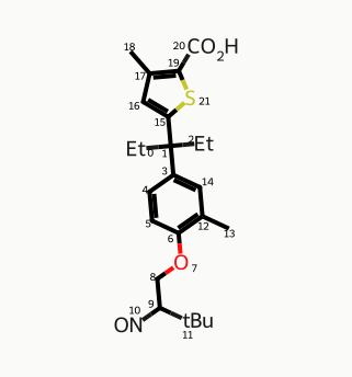 CCC(CC)(c1ccc(OCC(N=O)C(C)(C)C)c(C)c1)c1cc(C)c(C(=O)O)s1